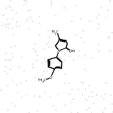 COc1ccc(N2CC(C)=CC2O)cc1